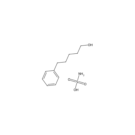 NS(=O)(=O)O.OCCCCCc1ccccc1